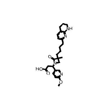 COc1ccc(C(CC(=O)O)N2CC(C)(CCCCc3ccc4c(n3)NCCC4)C2=O)cn1